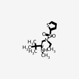 CCN(C[C@@H](NC)C(C)(C)C)S(=O)(=O)c1cccs1